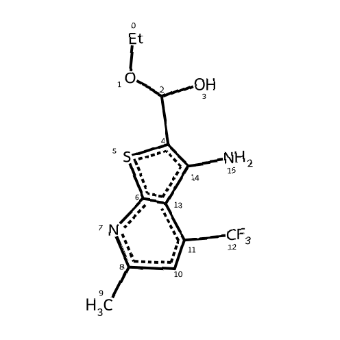 CCOC(O)c1sc2nc(C)cc(C(F)(F)F)c2c1N